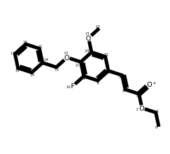 CCOC(=O)C=Cc1cc(F)c(OCc2ccccc2)c(OC)c1